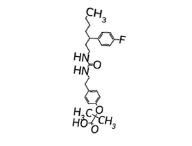 CCCCC(CCNC(=O)NCCc1ccc(OC(C)(C)C(=O)O)cc1)c1ccc(F)cc1